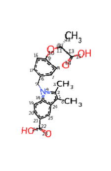 Cc1c(C)n(Cc2ccc(O[C@H](C)C(=O)O)cc2)c2ccc(C(=O)O)cc12